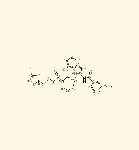 Cc1cc(C(=O)Nc2nc3cccc(Cl)c3n2[C@@H]2CCCCN(C(=O)C=CCN3CC[C@@H](F)C3)C2)ccn1